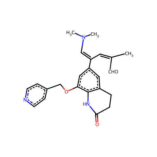 C/C(C=O)=C/C(=C\N(C)C)c1cc2c(c(OCc3ccncc3)c1)NC(=O)CC2